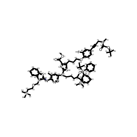 COC(=O)c1nc(N(CCCC(CN(C)C)O[Si](c2ccccc2)(c2ccccc2)C(C)(C)C)c2cc(C)c(/N=c3\sc4ccccc4n3COCC[Si](C)(C)C)nn2)sc1CCCOc1ccc(C#CCN(C)C(=O)OC(C)(C)C)cc1F